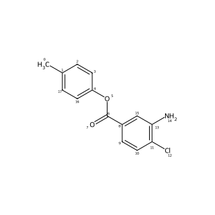 Cc1ccc(OC(=O)c2ccc(Cl)c(N)c2)cc1